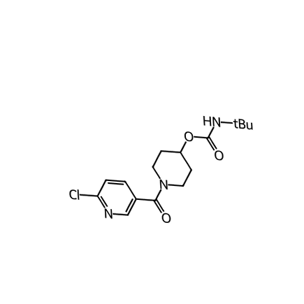 CC(C)(C)NC(=O)OC1CCN(C(=O)c2ccc(Cl)nc2)CC1